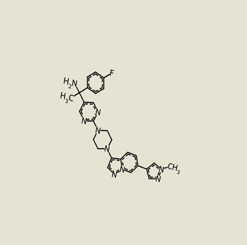 Cn1cc(-c2ccc3c(N4CCN(c5ncc(C(C)(N)c6ccc(F)cc6)cn5)CC4)cnn3c2)cn1